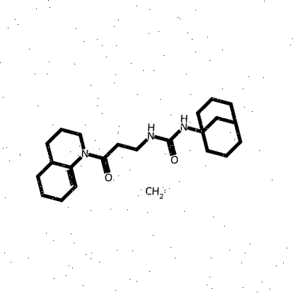 O=C(NCCC(=O)N1CCCC2CCCC=C21)NC12CCCC(CCC1)C2.[CH2]